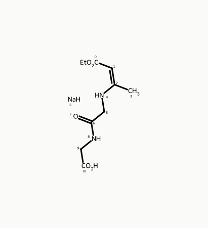 CCOC(=O)C=C(C)NCC(=O)NCC(=O)O.[NaH]